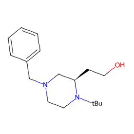 CC(C)(C)N1CCN(Cc2ccccc2)C[C@H]1CCO